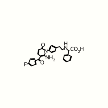 Nc1c(C(=O)c2ccc(F)cc2)ccc(=O)n1-c1ccc(CCN[C@H](C(=O)O)c2ccccc2)cc1